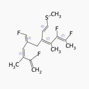 C=C(F)/C(C)=C\C(=C/F)CC(/C=C/SC)=C(C)/C(F)=C(\C)F